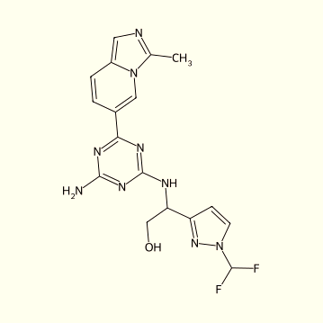 Cc1ncc2ccc(-c3nc(N)nc(NC(CO)c4ccn(C(F)F)n4)n3)cn12